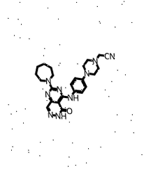 N#CCN1CCN(c2ccc(Nc3nc(N4CCCCCC4)nc4cn[nH]c(=O)c34)cc2)CC1